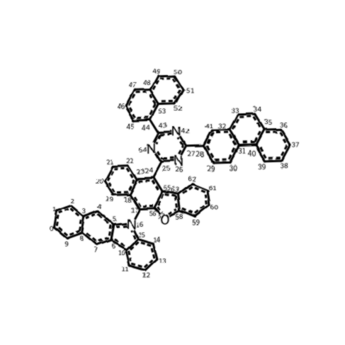 c1ccc2cc3c(cc2c1)c1ccccc1n3-c1c2ccccc2c(-c2nc(-c3ccc4c(ccc5ccccc54)c3)nc(-c3cccc4ccccc34)n2)c2c1oc1ccccc12